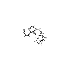 C1=COc2ccc3c(c2=C1)=CC1(N=C3)C2CC3CC(C2)CC1C3